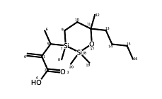 C=C(C(=O)O)C(C)[Si]1(C)CCC(C)(CCCC)O[Si]1(C)C